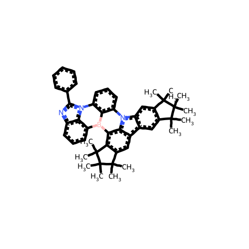 CC1(C)c2cc3c4cc5c(c6c4n(c3cc2C(C)(C)C1(C)C)-c1cccc2c1B6c1cccc3nc(-c4ccccc4)n-2c13)C(C)(C)C(C)(C)C5(C)C